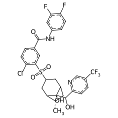 C[C@H]1CC2CC(S(=O)(=O)c3cc(C(=O)Nc4ccc(F)c(F)c4)ccc3Cl)CC1[C@@]2(O)C(O)c1ccc(C(F)(F)F)cn1